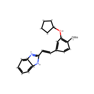 COc1ccc(C=CC2=Nc3ccccc3[N]2)cc1OC1CCCC1